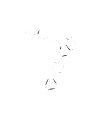 CNC(=O)CCCNc1nc(N2CCC(c3ccc(Cl)cc3)CC2)nc2c1S(=O)(=O)CC2